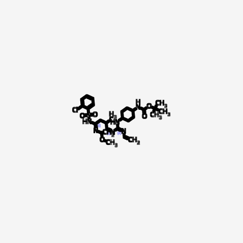 C=C/N=C(\N=C/C(C)C/C(=N\C(=C)OC)NS(=O)(=O)c1ccccc1Cl)NC1CCC(NC(=O)OC(C)(C)C)CC1